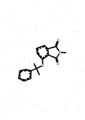 CN1C(=O)c2cccc(SC(C)(C)c3ccccc3)c2C1=O